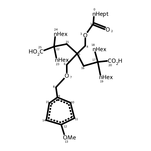 CCCCCCCC(=O)OCC(COCc1ccc(OC)cc1)(CC(CCCCCC)(CCCCCC)C(=O)O)CC(CCCCCC)(CCCCCC)C(=O)O